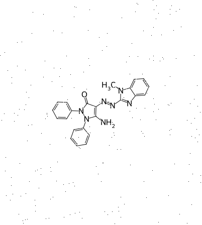 Cn1c(N=Nc2c(N)n(-c3ccccc3)n(-c3ccccc3)c2=O)nc2ccccc21